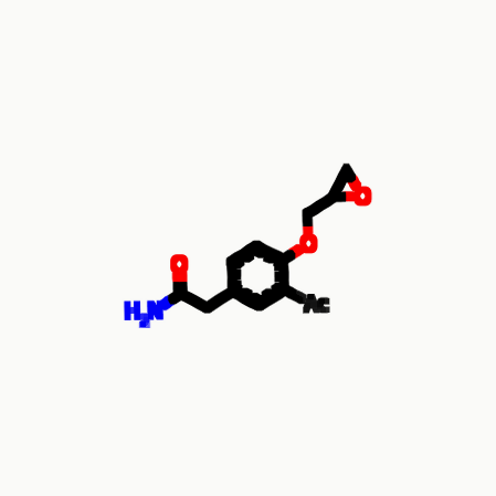 CC(=O)c1cc(CC(N)=O)ccc1OCC1CO1